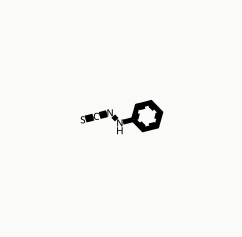 S=C=NNc1ccccc1